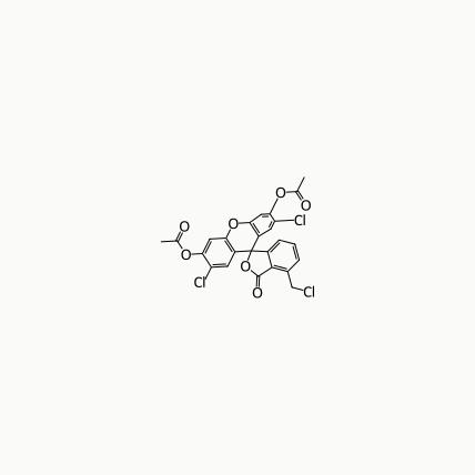 CC(=O)Oc1cc2c(cc1Cl)C1(OC(=O)c3c(CCl)cccc31)c1cc(Cl)c(OC(C)=O)cc1O2